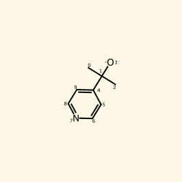 CC(C)([O])c1ccncc1